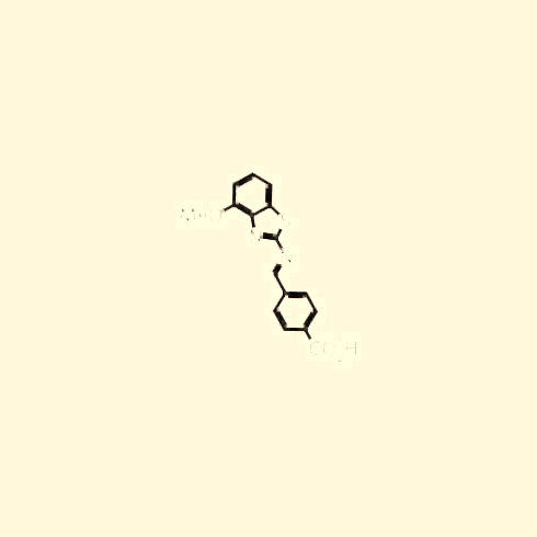 COc1cccc2sc(N=Cc3ccc(C(=O)O)cc3)nc12